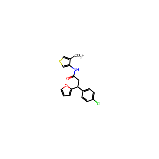 O=C(CC(c1ccc(Cl)cc1)c1ccco1)Nc1cscc1C(=O)O